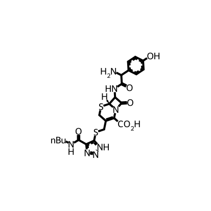 CCCCNC(=O)c1nn[nH]c1SCC1=C(C(=O)O)N2C(=O)C(NC(=O)C(N)c3ccc(O)cc3)[C@H]2SC1